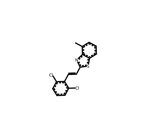 Cc1cccc2sc(C=Cc3c(Cl)cccc3Cl)nc12